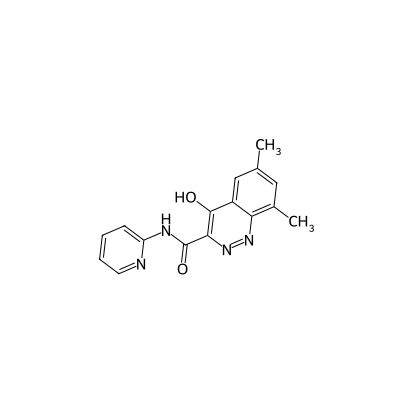 Cc1cc(C)c2nnc(C(=O)Nc3ccccn3)c(O)c2c1